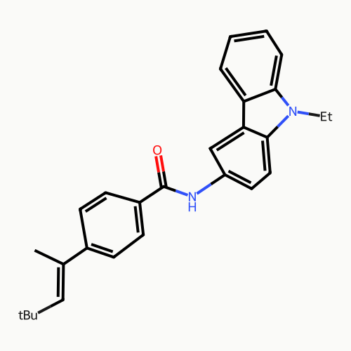 CCn1c2ccccc2c2cc(NC(=O)c3ccc(C(C)=CC(C)(C)C)cc3)ccc21